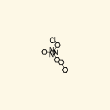 Clc1cccc(-c2nc(-c3ccccc3)nc(-c3ccc4cc(-c5ccccc5)ccc4c3)n2)c1